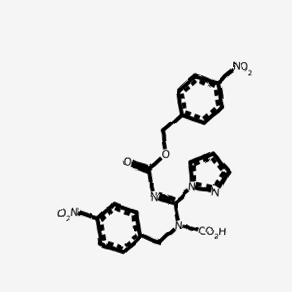 O=C(N=C(N(Cc1ccc([N+](=O)[O-])cc1)C(=O)O)n1cccn1)OCc1ccc([N+](=O)[O-])cc1